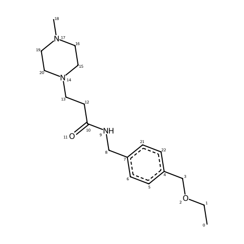 CCOCc1ccc(CNC(=O)CCN2CCN(C)CC2)cc1